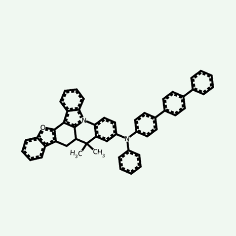 CC1(C)c2cc(N(c3ccccc3)c3ccc(-c4ccc(-c5ccccc5)cc4)cc3)ccc2-n2c3c(c4ccccc42)-c2oc4ccccc4c2CC31